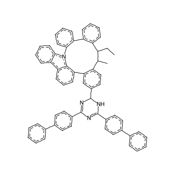 CCC1c2ccccc2-c2ccccc2-n2c3ccccc3c3cccc(c32)-c2cc(C3N=C(c4ccc(-c5ccccc5)cc4)N=C(c4ccc(-c5ccccc5)cc4)N3)ccc2C1C